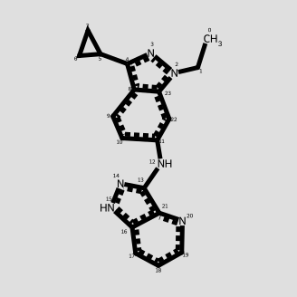 CCn1nc(C2CC2)c2ccc(Nc3n[nH]c4cccnc34)cc21